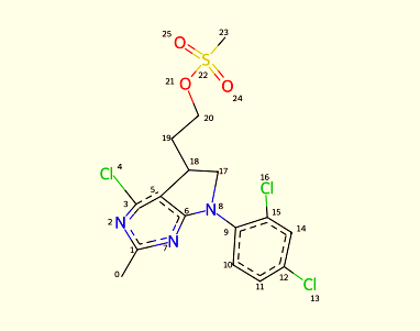 Cc1nc(Cl)c2c(n1)N(c1ccc(Cl)cc1Cl)CC2CCOS(C)(=O)=O